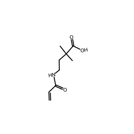 C=CC(=O)NCCC(C)(C)C(=O)O